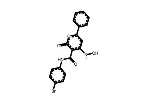 O=C(Nc1ccc(Br)cc1)c1c(NO)cc(-c2ccccc2)oc1=O